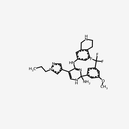 CCCn1cc(C2=CNC(N)(c3cc(OC)cc(C(F)(F)F)c3)N=C2Nc2ccc3c(c2)CNCC3)cn1